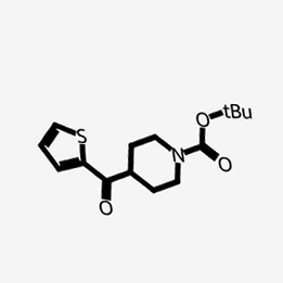 CC(C)(C)OC(=O)N1CCC(C(=O)c2cccs2)CC1